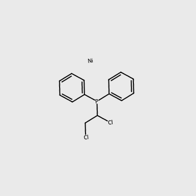 ClCC(Cl)P(c1ccccc1)c1ccccc1.[Ni]